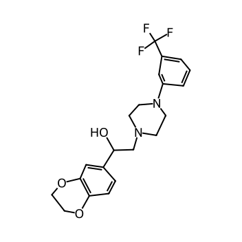 OC(CN1CCN(c2cccc(C(F)(F)F)c2)CC1)c1ccc2c(c1)OCCO2